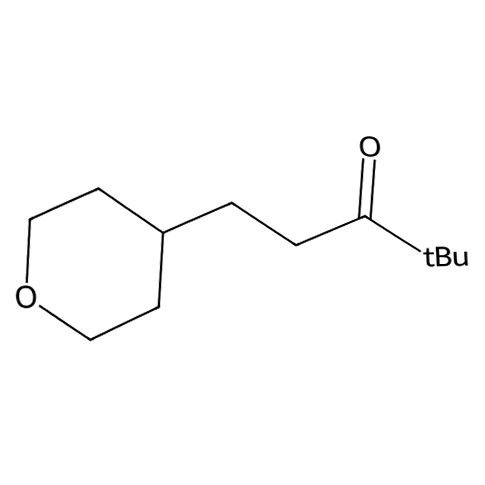 CC(C)(C)C(=O)CCC1CCOCC1